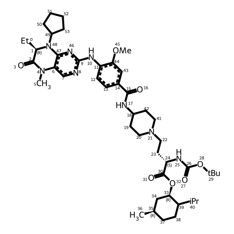 CC[C@@H]1C(=O)N(C)c2cnc(Nc3ccc(C(=O)NC4CCN(CC[C@H](NC(=O)OC(C)(C)C)C(=O)O[C@@H]5C[C@H](C)CCC5C(C)C)CC4)cc3OC)nc2N1C1CCCC1